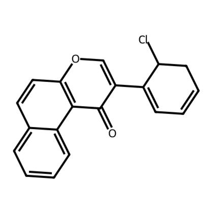 O=c1c(C2=CC=CCC2Cl)coc2ccc3ccccc3c12